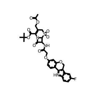 CC(=O)OCC1=C(C(=O)OC(C)(C)C)N2C(=O)C(NC(=O)COc3ccc4c(c3)OCc3c-4[nH]c4ccc(F)cc34)C2S(=O)(=O)C1